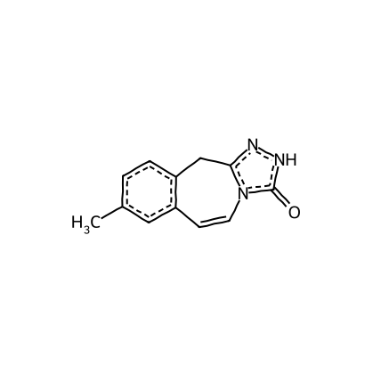 Cc1ccc2c(c1)C=Cn1c(n[nH]c1=O)C2